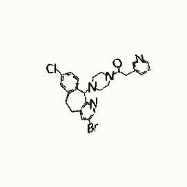 O=C(Cc1cccnc1)N1CCN(C2c3ccc(Cl)cc3CCc3cc(Br)cnc32)CC1